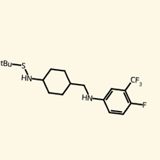 CC(C)(C)SNC1CCC(CNc2ccc(F)c(C(F)(F)F)c2)CC1